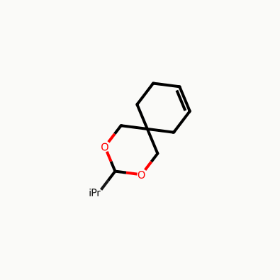 CC(C)C1OCC2(CC=CCC2)CO1